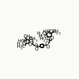 CCC1(C)CC2(OCC(COC(=O)c3ccc(C(=O)OCC4COC5(CC(C)(CC)N(O)C(C)(CC)C5C)O4)cc3)O2)C(C)C(C)(CC)N1O